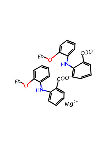 CCOc1ccccc1Nc1ccccc1C(=O)[O-].CCOc1ccccc1Nc1ccccc1C(=O)[O-].[Mg+2]